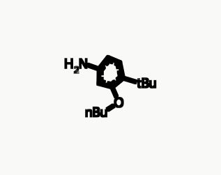 CCCCOc1cc(N)ccc1C(C)(C)C